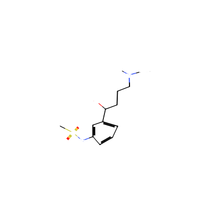 CCCCCCCN(CC)CCCC(O)c1cccc(NS(C)(=O)=O)c1